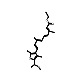 CCOC(=O)C=C(C)C=CC=C(C)C=Cc1c(C)sc(C(C)OC)c1C